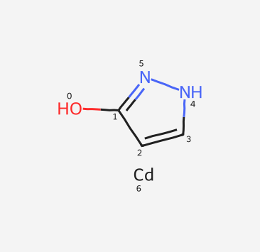 Oc1cc[nH]n1.[Cd]